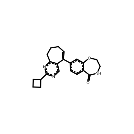 O=C1NCCOc2cc(C3=CCCCc4nc(C5CCC5)ncc43)ccc21